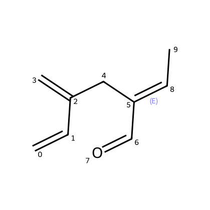 C=CC(=C)C/C(C=O)=C\C